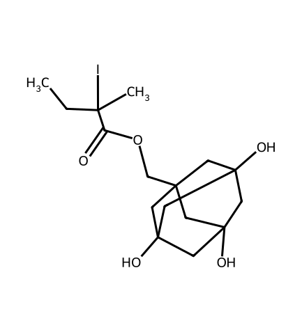 CCC(C)(I)C(=O)OCC12CC3(O)CC(O)(CC(O)(C3)C1)C2